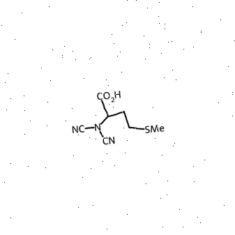 CSCCC(C(=O)O)N(C#N)C#N